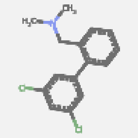 CN(C)Cc1ccccc1-c1cc(Cl)cc(Cl)c1